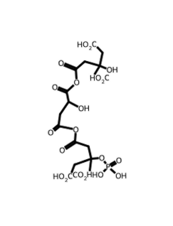 O=C(O)CC(O)(CC(=O)OC(=O)C(O)CC(=O)OC(=O)CC(CC(=O)O)(OP(=O)(O)O)C(=O)O)C(=O)O